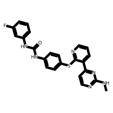 CNc1nccc(-c2cccnc2Sc2ccc(NC(=O)Nc3cccc(F)c3)cc2)n1